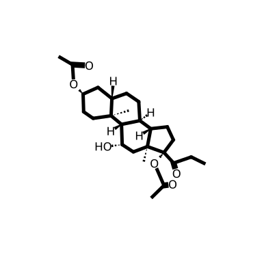 CCC(=O)[C@]1(OC(C)=O)CC[C@H]2[C@@H]3CC[C@H]4C[C@@H](OC(C)=O)CC[C@]4(C)[C@H]3[C@@H](O)C[C@@]21C